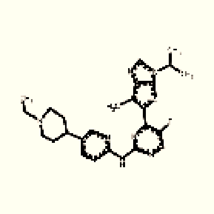 CCN1CCC(c2ccc(Nc3ncc(F)c(-c4sc5c(ncn5C(C)C)c4C)n3)nc2)CC1